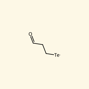 O=CCC[Te]